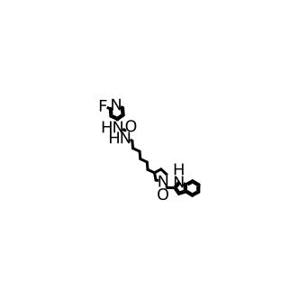 O=C(NCCCCCCC1CCN(C(=O)c2cc3ccccc3[nH]2)C1)Nc1ccnc(F)c1